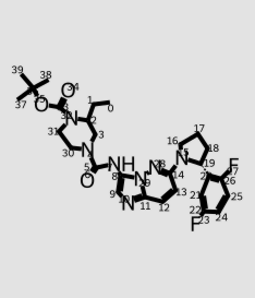 CCC1CN(C(=O)Nc2cnc3ccc(N4CCC[C@@H]4c4cc(F)ccc4F)nn23)CCN1C(=O)OC(C)(C)C